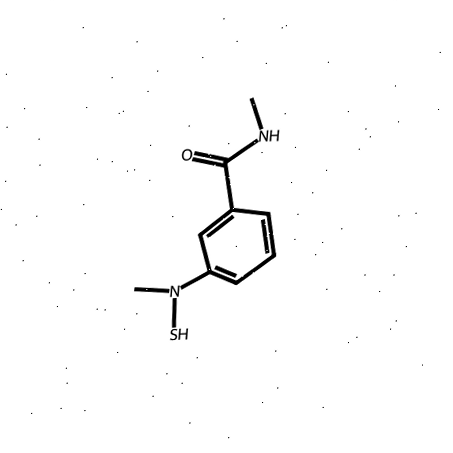 CNC(=O)c1cccc(N(C)S)c1